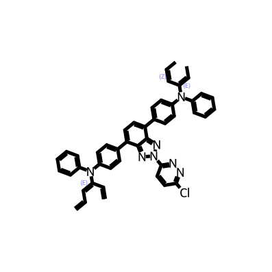 C=C/C=C(\C=C)N(c1ccccc1)c1ccc(-c2ccc(-c3ccc(N(C(/C=C\C)=C/C)c4ccccc4)cc3)c3nn(-c4ccc(Cl)nn4)nc23)cc1